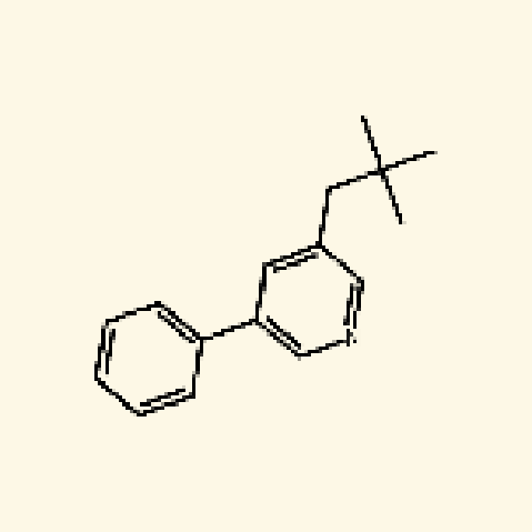 CC(C)(C)Cc1cncc(-c2ccccc2)c1